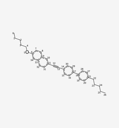 CCCCCOc1ccc2cc(C#Cc3ccc(-c4ccc(CCCCC)cc4)cc3)ccc2c1